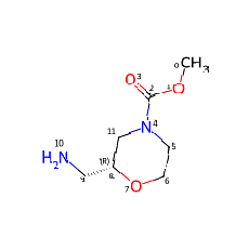 COC(=O)N1CCO[C@H](CN)C1